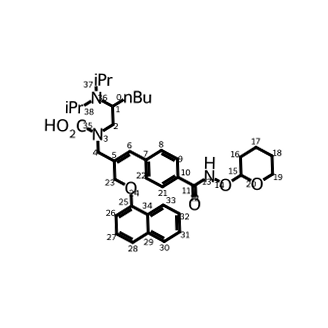 CCCCC(CN(CC(=Cc1ccc(C(=O)NOC2CCCCO2)cc1)COc1cccc2ccccc12)C(=O)O)N(C(C)C)C(C)C